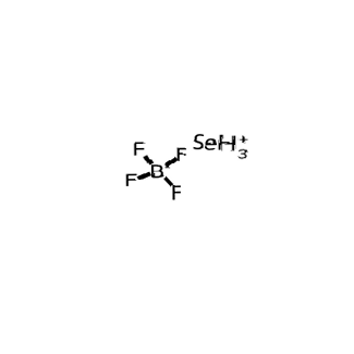 F[B-](F)(F)F.[SeH3+]